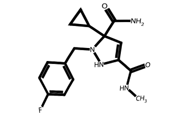 CNC(=O)C1=CC(C(N)=O)(C2CC2)N(Cc2ccc(F)cc2)N1